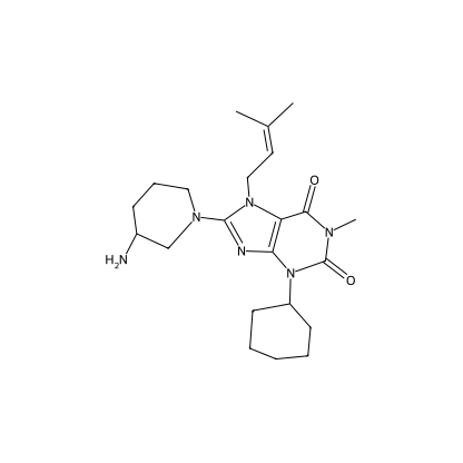 CC(C)=CCn1c(N2CCCC(N)C2)nc2c1c(=O)n(C)c(=O)n2C1CCCCC1